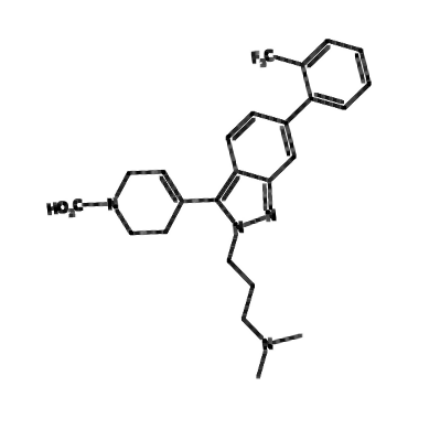 CN(C)CCCn1nc2cc(-c3ccccc3C(F)(F)F)ccc2c1C1=CCN(C(=O)O)CC1